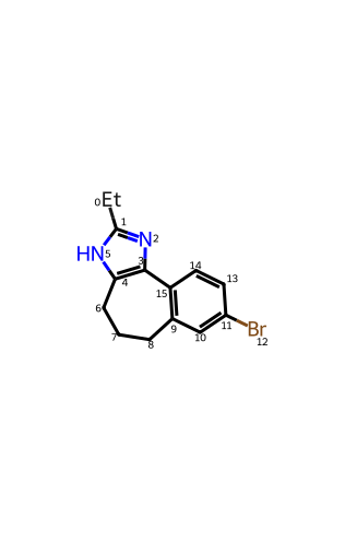 CCc1nc2c([nH]1)CCCc1cc(Br)ccc1-2